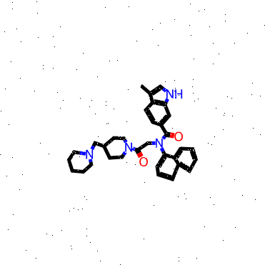 Cc1c[nH]c2cc(C(=O)N(CC(=O)N3CCC(CN4CCCCC4)CC3)c3cccc4ccccc34)ccc12